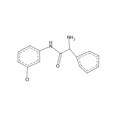 NC(C(=O)Nc1cccc(Cl)c1)c1ccccc1